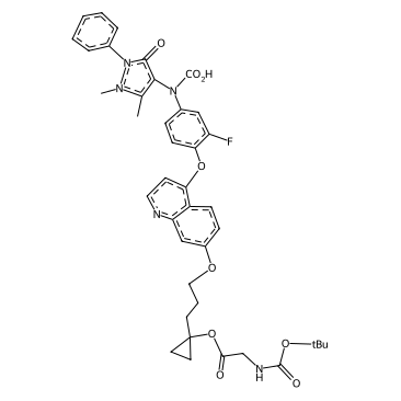 Cc1c(N(C(=O)O)c2ccc(Oc3ccnc4cc(OCCCC5(OC(=O)CNC(=O)OC(C)(C)C)CC5)ccc34)c(F)c2)c(=O)n(-c2ccccc2)n1C